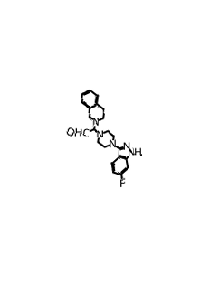 O=CC(N1CCN(c2n[nH]c3cc(F)ccc23)CC1)N1CCc2ccccc2C1